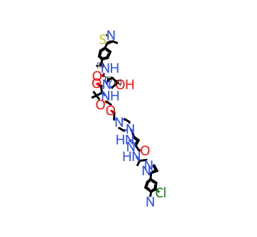 Cc1ncsc1-c1ccc([C@H](C)NC(=O)[C@@H]2C[C@@H](O)CN2C(=O)C(NC(=O)COCCN2CCN(Cc3cc(C(=O)NC(C)Cn4ccc(-c5ccc(C#N)c(Cl)c5)n4)n[nH]3)CC2)C(C)(C)C)cc1